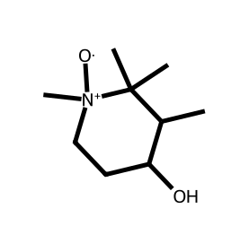 CC1C(O)CC[N+](C)([O])C1(C)C